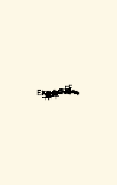 C/C=C/CCc1ccc(COC2CCC(c3ccc(-c4ccc(OCC)c(F)c4F)c(F)c3F)CC2)c(F)c1F